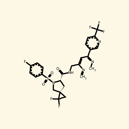 C=N/C(=C\C(=N/C)c1ccc(C(F)(F)F)nc1)CNC(=O)[C@@H]1C[C@]2(CN1S(=O)(=O)c1ccc(F)cc1)CC2(F)F